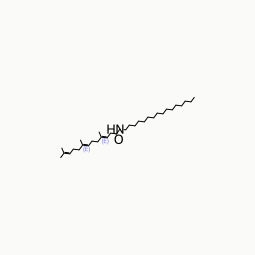 CCCCCCCCCCCCCCCCNC(=O)C/C=C(\C)CC/C=C(\C)CCC=C(C)C